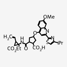 C=CC1CC1(NC(=O)C1CC(Oc2cc(-c3nc(C(C)C)cs3)nc3cc(OC)ccc23)CC1C(=O)O)C(=O)OCC